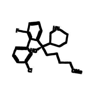 COCCCC[C@@](O)(c1cccc(F)c1-c1cccc(Cl)c1)C1CCCNC1